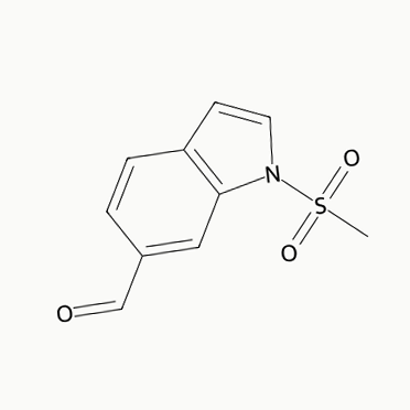 CS(=O)(=O)n1ccc2ccc(C=O)cc21